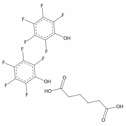 O=C(O)CCCCC(=O)O.Oc1c(F)c(F)c(F)c(F)c1F.Oc1c(F)c(F)c(F)c(F)c1F